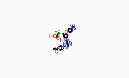 C=CC(=O)N1CCN(c2ncc3ncnc(Nc4ccc(Oc5ccc6c(c5)nnn6C)c(C)c4)c3n2)[C@@H](C)C1.O=C(O)C(F)(F)F